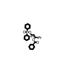 CC(C)C(CC(OP(=O)(c1ccccc1)c1ccccc1)C(C)C)OC(=O)c1ccccc1